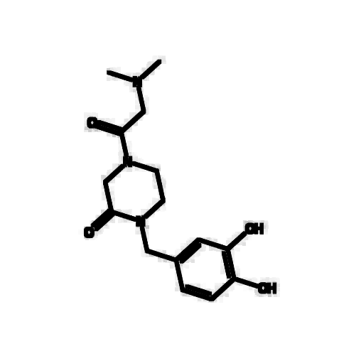 CN(C)CC(=O)N1CCN(Cc2ccc(O)c(O)c2)C(=O)C1